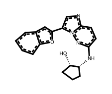 O[C@H]1CCC[C@H]1Nc1ccc2ncc(-c3cc4ccccc4o3)n2n1